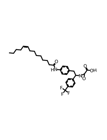 CCCC/C=C\CCCCCCCC(=O)Nc1ccc(CC(c2ccc(C(F)(F)F)cc2)N2OC2C(=O)O)cc1